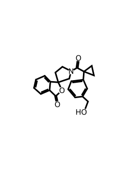 O=C1OC2(CCN(C(=O)C3(c4cccc(CO)c4)CC3)C2)c2ccccc21